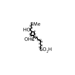 CSCCC(O)c1ccc(N(C=O)CC/C=C\CCCC(=O)O)cc1